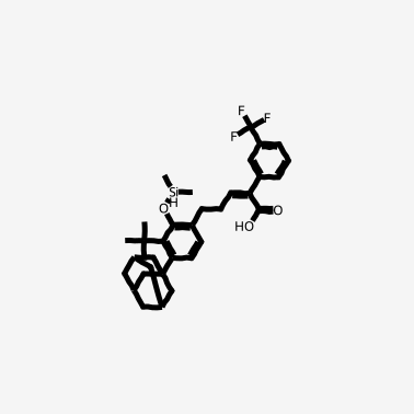 C[SiH](C)Oc1c(CCC=C(C(=O)O)c2cccc(C(F)(F)F)c2)ccc(C23CC4CC(CC(C4)C2)C3)c1C(C)(C)C